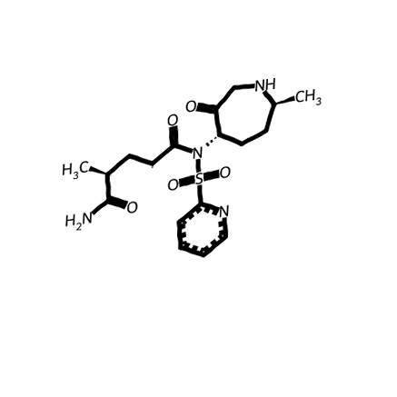 C[C@H]1CC[C@H](N(C(=O)[CH]C[C@H](C)C(N)=O)S(=O)(=O)c2ccccn2)C(=O)CN1